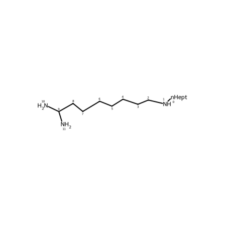 CCCCCCCNCCCCCCCC(N)N